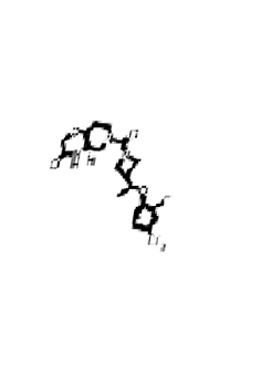 CC(Oc1ccc(C(F)(F)F)cc1F)C1CN(C(=O)N2CCC3OCC(=O)N[C@@H]3C2)C1